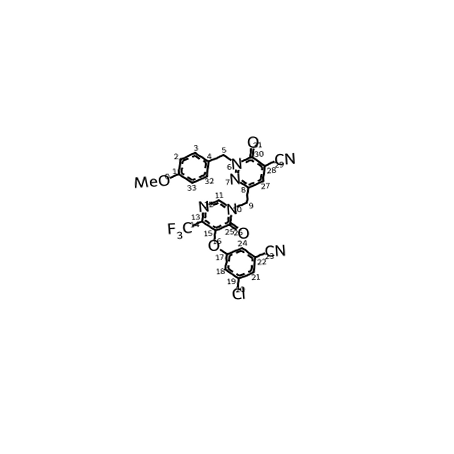 COc1ccc(Cn2nc(Cn3cnc(C(F)(F)F)c(Oc4cc(Cl)cc(C#N)c4)c3=O)cc(C#N)c2=O)cc1